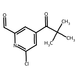 CC(C)(C)C(=O)c1cc(Cl)nc(C=O)c1